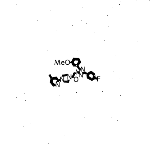 COc1cccc(-c2nc(-c3ccc(F)cc3)nn2CC(=O)N2CCN(c3cc(C)ccn3)CC2)c1